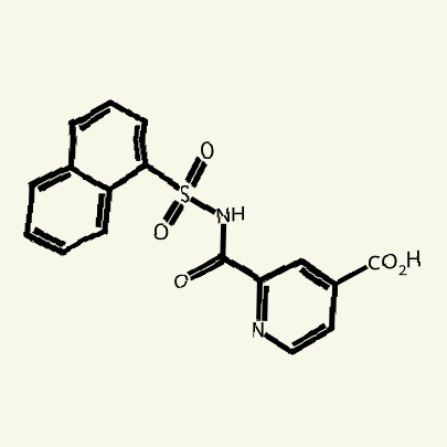 O=C(O)c1ccnc(C(=O)NS(=O)(=O)c2cccc3ccccc23)c1